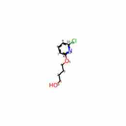 OCCCCOc1cccc(Cl)n1